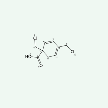 O=C(O)C1(CCl)C=CC(CCl)=CC1